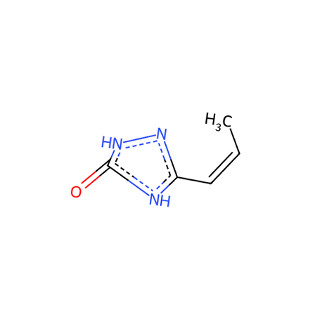 C/C=C\c1n[nH]c(=O)[nH]1